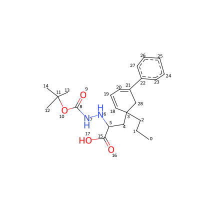 CCCC1(CC(NNC(=O)OC(C)(C)C)C(=O)O)C=CC=C(c2ccccc2)C1